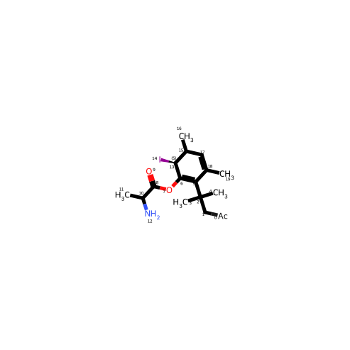 CC(=O)CC(C)(C)C1=C(OC(=O)C(C)N)[C@@H](I)C(C)C=C1C